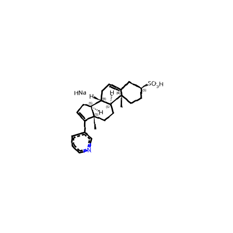 C[C@]12CC[C@H](S(=O)(=O)O)CC1=CC[C@@H]1[C@@H]2CC[C@]2(C)C(c3cccnc3)=CC[C@@H]12.[NaH]